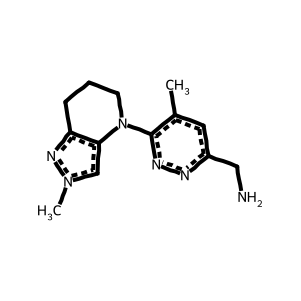 Cc1cc(CN)nnc1N1CCCc2nn(C)cc21